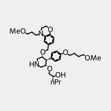 CCC[C@H](O)CO[C@@H]1CNC[C@H](OCc2ccc3c(c2)N(CCCOC)CCO3)[C@H]1c1ccc(OCCCCOC)cc1